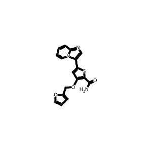 NC(=O)c1sc(-c2cnc3ccccn23)cc1OCc1ccco1